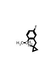 COc1ccc(F)cc1CC1(N)CC1